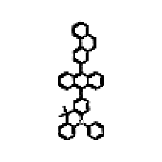 CC1(C)c2ccccc2N(c2ccccc2)c2ccc(-c3c4ccccc4c(-c4ccc5c(ccc6ccccc65)c4)c4ccccc34)cc21